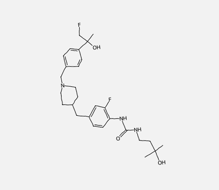 CC(C)(O)CCNC(=O)Nc1ccc(CC2CCN(Cc3ccc(C(C)(O)CF)cc3)CC2)cc1F